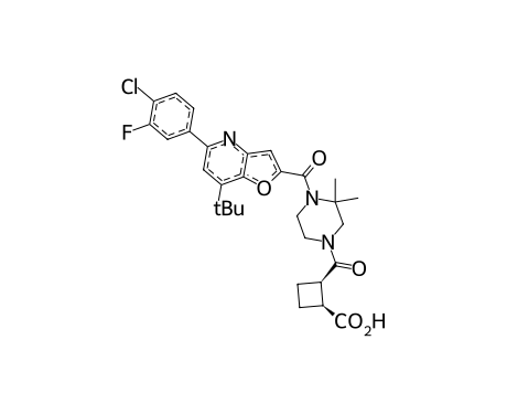 CC(C)(C)c1cc(-c2ccc(Cl)c(F)c2)nc2cc(C(=O)N3CCN(C(=O)[C@@H]4CC[C@@H]4C(=O)O)CC3(C)C)oc12